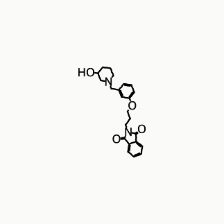 O=C1c2ccccc2C(=O)N1CCCOc1cccc(CN2CCCC(O)C2)c1